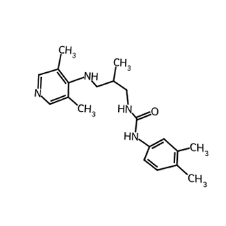 Cc1ccc(NC(=O)NCC(C)CNc2c(C)cncc2C)cc1C